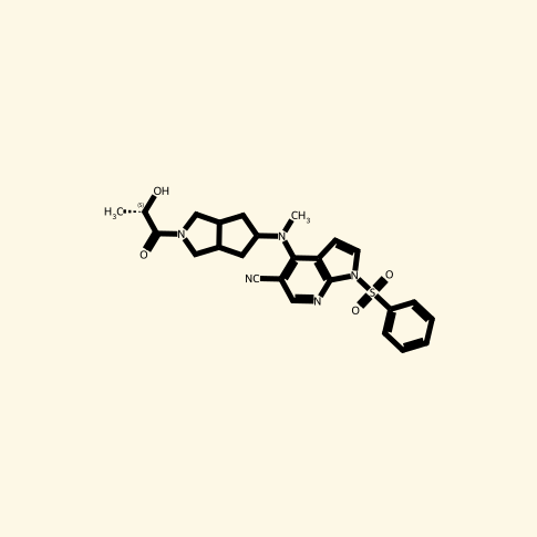 C[C@H](O)C(=O)N1CC2CC(N(C)c3c(C#N)cnc4c3ccn4S(=O)(=O)c3ccccc3)CC2C1